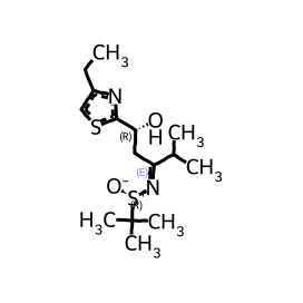 CCc1csc([C@H](O)C/C(=N\[S@@+]([O-])C(C)(C)C)C(C)C)n1